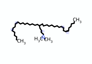 CCCCC/C=C\C/C=C\CCCCCCCCC(C/C=C/CN(C)C)CCCCCCCC/C=C\C/C=C\CCCCC